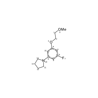 COCCOc1cc(F)cc(N2CCCC2)c1